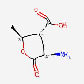 C[C@@H]1OC(=O)[C@H](N)[C@H]1C(=O)O